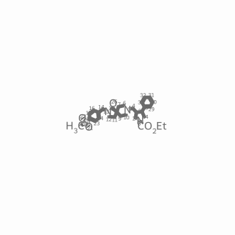 CCOC(=O)N1CC(CN2CCC3(CC2)CCN(Cc2ccc(S(C)(=O)=O)cc2)C3=O)C(c2ccccc2)C1